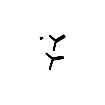 C=C(C)C.C=C(C)C.[V]